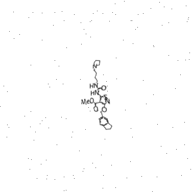 COC(=O)c1c(OCc2ccc3c(c2)CCC3)nsc1NC(=O)NCCCCN1CCCC1